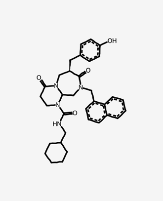 O=C1[C@H](Cc2ccc(O)cc2)CN2C(=O)CCN(C(=O)NCC3CCCCC3)C2CN1Cc1cccc2ccccc12